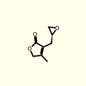 CC1=C(C[C@H]2CO2)C(=O)OC1